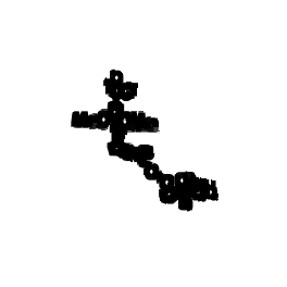 COc1cc(-c2cn(C)c(=O)c3cnccc23)cc(OC)c1CN(C)C1CCC2CN(C(=O)CCOCCOc3cccc4c3C(=O)N(C3CCC(=O)NC3=O)C4=O)CC21